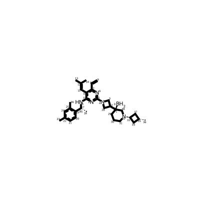 B[C@]1(C2CN(c3nc(C=C)c(C=C(C)C)c(N[C@H](C)c4ccc(C)cc4C)n3)C2)CCCN([C@H]2C[C@@H](C)C2)C1